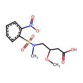 COC(CC(=O)O)CN(C)S(=O)(=O)c1ccccc1[N+](=O)[O-]